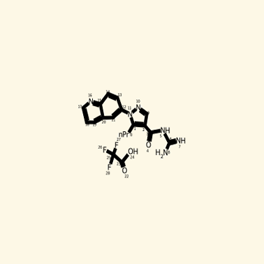 CCCc1c(C(=O)NC(=N)N)cnn1-c1ccc2ncccc2c1.O=C(O)C(F)(F)F